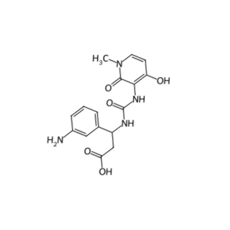 Cn1ccc(O)c(NC(=O)NC(CC(=O)O)c2cccc(N)c2)c1=O